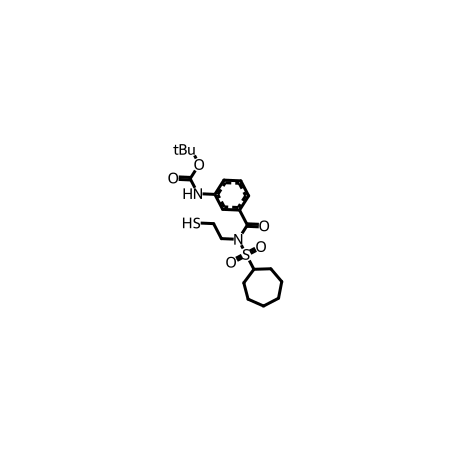 CC(C)(C)OC(=O)Nc1cccc(C(=O)N(CCS)S(=O)(=O)C2CCCCCC2)c1